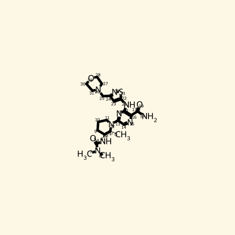 C[C@@H]1[C@H](NC(=O)N(C)C)CCCN1c1cnc(C(N)=O)c(Nc2cc(CN3CCOCC3)ns2)n1